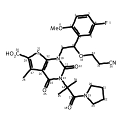 COc1ccc(F)cc1C(Cn1c(=O)n(C(C)(C)C(=O)N2CCCC2)c(=O)c2c(C)c(C(=O)O)sc21)OCCC#N